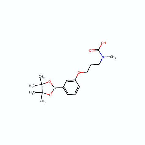 CN(CCCOc1cccc(B2OC(C)(C)C(C)(C)O2)c1)C(=O)O